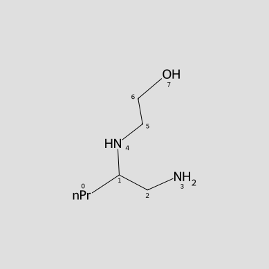 CCCC(CN)NCCO